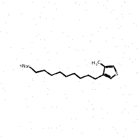 CCCCCCCCCCCCCCCCCCc1cscc1C